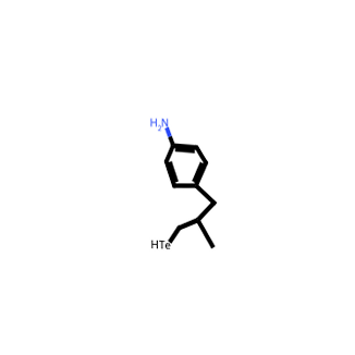 CC(C[TeH])Cc1ccc(N)cc1